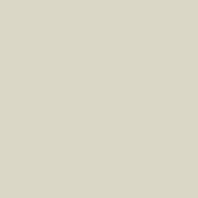 CCC(=O)Cl.CCO